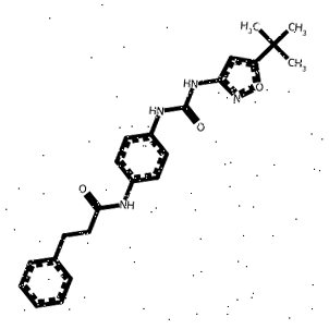 CC(C)(C)c1cc(NC(=O)Nc2ccc(NC(=O)CCc3ccccc3)cc2)no1